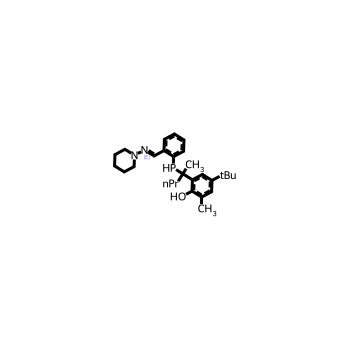 CCCC(C)(Pc1ccccc1/C=N/N1CCCCC1)c1cc(C(C)(C)C)cc(C)c1O